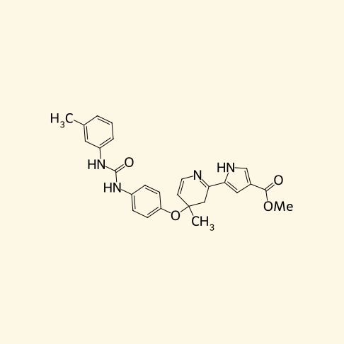 COC(=O)c1c[nH]c(C2=NC=CC(C)(Oc3ccc(NC(=O)Nc4cccc(C)c4)cc3)C2)c1